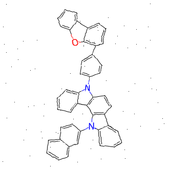 c1ccc2cc(-n3c4ccccc4c4ccc5c(c6ccccc6n5-c5ccc(-c6cccc7c6oc6ccccc67)cc5)c43)ccc2c1